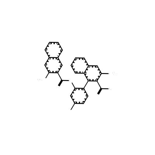 COc1cc2ccccc2cc1C(=O)Oc1cc(Cl)ccc1-c1c(C(N)=O)c(OC)cc2ccccc12